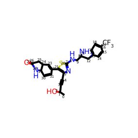 CC(O)C#Cc1nc(NC[C@@H](N)Cc2ccc(C(F)(F)F)cc2)sc1C1=CC2CC(=O)NC2C=C1